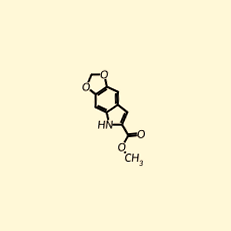 COC(=O)c1cc2cc3c(cc2[nH]1)OCO3